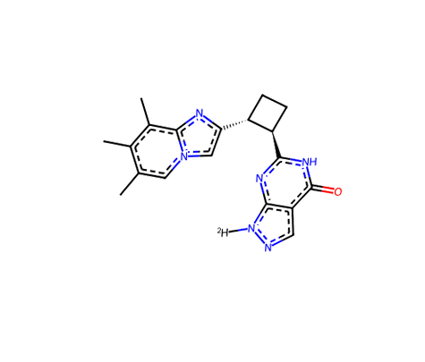 [2H]n1ncc2c(=O)[nH]c([C@@H]3CC[C@H]3c3cn4cc(C)c(C)c(C)c4n3)nc21